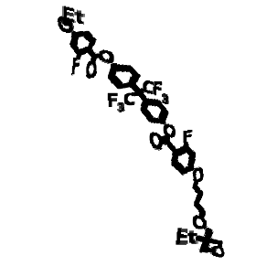 CCOc1ccc(C(=O)Oc2ccc(C(c3ccc(OC(=O)c4ccc(OCCCCOCC5(CC)COC5)cc4F)cc3)(C(F)(F)F)C(F)(F)F)cc2)c(F)c1